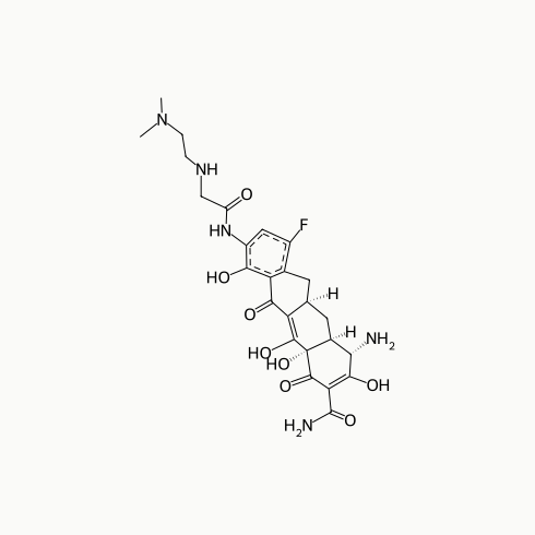 CN(C)CCNCC(=O)Nc1cc(F)c2c(c1O)C(=O)C1=C(O)[C@]3(O)C(=O)C(C(N)=O)=C(O)[C@@H](N)[C@@H]3C[C@@H]1C2